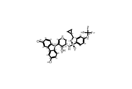 O=S(=NCC1CC1)(N[C@H]1COC=C(n2c3ccc(Cl)cc3c3cc(Cl)ccc32)[C@@H]1O)c1ccc(OC(F)(F)F)cc1